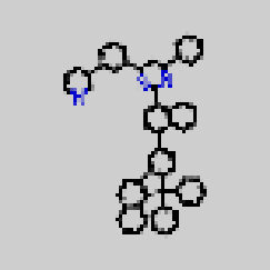 c1ccc(-c2cc(-c3cccc(-c4cccnc4)c3)nc(-c3ccc(-c4ccc5c(c4)-c4ccc6ccccc6c4C5(c4ccccc4)c4ccccc4)c4ccccc34)n2)cc1